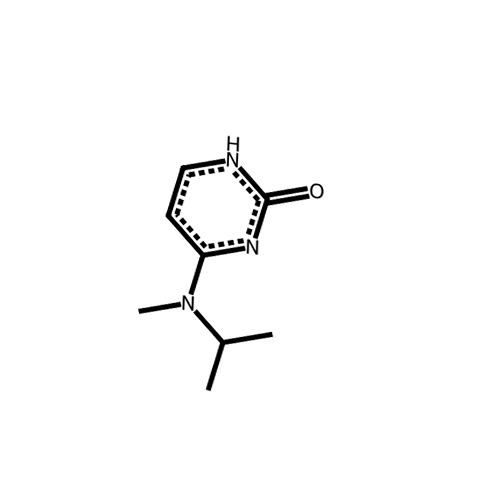 CC(C)N(C)c1cc[nH]c(=O)n1